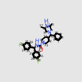 CC1CN(C(c2ccccc2)C2CCN(C(=O)NC(c3ccc(F)cc3)c3ccc(F)cc3)CC2)CC(C)N1